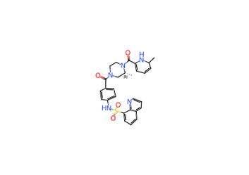 CC1C=CC=C(C(=O)N2CCN(C(=O)c3ccc(NS(=O)(=O)c4cccc5cccnc45)cc3)C[C@H]2C)N1